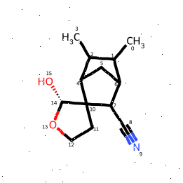 CC1C(C)C2CC1C(C#N)C21CCO[C@@H]1O